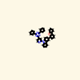 c1ccc(-c2nc(-c3ccccc3)nc(-c3ccnc(-n4c5ccccc5c5cc(-c6cccc7c6oc6ccccc67)ccc54)c3)n2)cc1